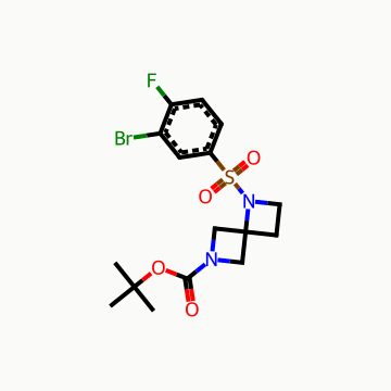 CC(C)(C)OC(=O)N1CC2(CCN2S(=O)(=O)c2ccc(F)c(Br)c2)C1